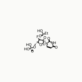 CCP(=O)(O)O[C@@H]1[C@H](F)[C@@H](COP(=O)(O)O)O[C@H]1n1ccc(=O)[nH]c1=O